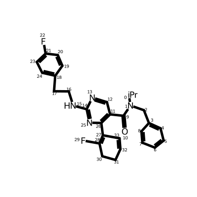 CC(C)N(Cc1ccccc1)C(=O)c1cnc(NCCc2ccc(F)cc2)nc1C1=C(F)CCC=C1